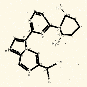 C[C@@H]1CCC[C@H](C)N1c1ccnc(-c2cnc3cnc(C(F)F)cn23)n1